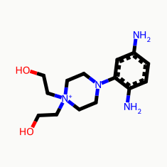 Nc1ccc(N)c(N2CC[N+](CCO)(CCO)CC2)c1